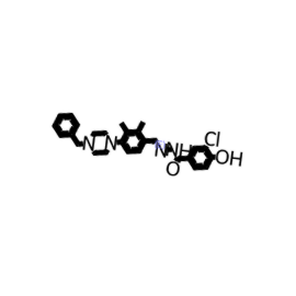 Cc1c(/C=N/NC(=O)c2ccc(O)c(Cl)c2)ccc(N2CCN(Cc3ccccc3)CC2)c1C